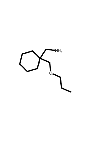 CCCOCC1(CN)CCCCC1